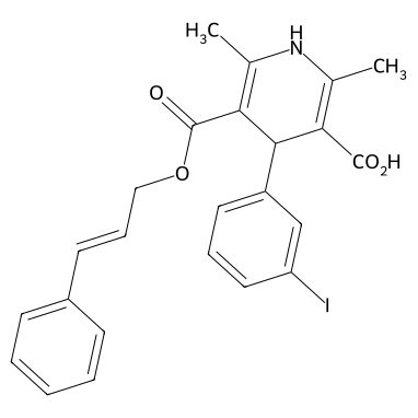 CC1=C(C(=O)O)C(c2cccc(I)c2)C(C(=O)OCC=Cc2ccccc2)=C(C)N1